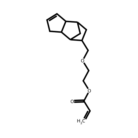 C=CC(=O)OCCOCC1CC2CC1C1CC=CC21